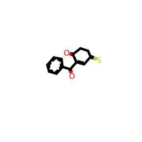 O=C1CCC(=S)C=C1C(=O)c1ccccc1